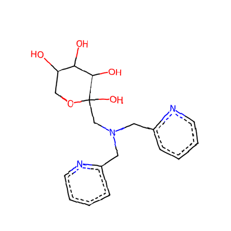 OC1COC(O)(CN(Cc2ccccn2)Cc2ccccn2)C(O)C1O